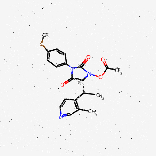 Cc1cnccc1C(C)[C@@H]1C(=O)N(c2ccc(SC(F)(F)F)cc2)C(=O)N1OC(=O)C(F)(F)F